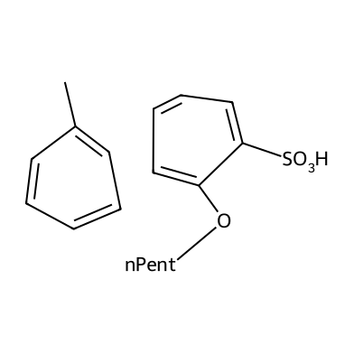 CCCCCOc1ccccc1S(=O)(=O)O.Cc1ccccc1